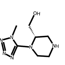 Cn1nnnc1N1CCNC[C@H]1CO